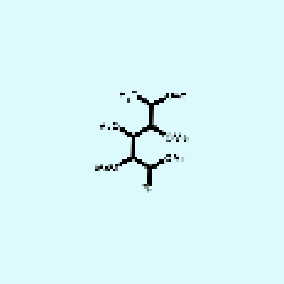 [2H]C(OC(C)=O)C(OC)C(OC(C)=O)C(OC)C(C)OC(C)=O